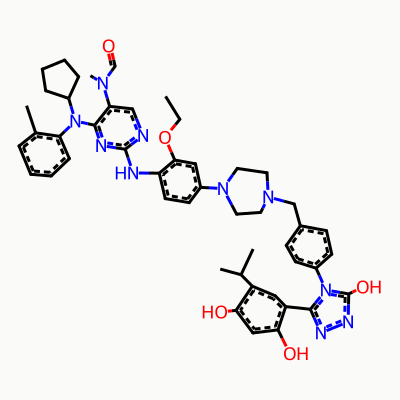 CCOc1cc(N2CCN(Cc3ccc(-n4c(O)nnc4-c4cc(C(C)C)c(O)cc4O)cc3)CC2)ccc1Nc1ncc(N(C)C=O)c(N(c2ccccc2C)C2CCCC2)n1